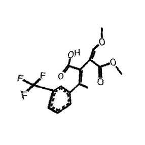 COC=C(C(=O)OC)C(C(=O)O)=C(C)c1cccc(C(F)(F)F)c1